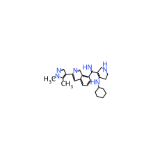 Cc1c(-c2cc3cccc(C(=N)C4=C(NC5CCCCC5)CCNC4)c3cn2)cnn1C